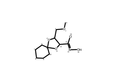 COCC1OC2(CCCCC2)OC1C(Cl)=NO